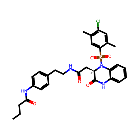 CCCC(=O)Nc1ccc(CCNC(=O)C[C@@H]2C(=O)Nc3ccccc3N2S(=O)(=O)c2cc(C)c(Cl)cc2C)cc1